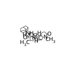 CC1C[C@H]2[C@@H]3CCC4N(C)C(=O)CC[C@]4(C)[C@@H]3CC[C@]2(C)C1C(=O)NC12CC3CC(CC(C3)C1)C2